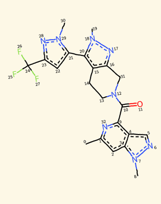 Cc1cc2c(cnn2C)c(C(=O)N2CCc3c(nn(C)c3-c3cc(C(F)(F)F)nn3C)C2)n1